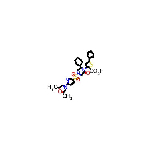 CC1CN(c2ccc(S(=O)(=O)N3CC(=O)N(c4cc(-c5ccccc5)sc4C(=O)O)C(C4CCCCC4)C3)cn2)CC(C)O1